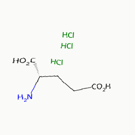 Cl.Cl.Cl.N[C@@H](CCC(=O)O)C(=O)O